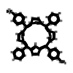 Cc1ccc(C2=C3C=CC(=N3)C(c3ccncc3)=C3C=CC(=N3)C(c3ccc(C)cc3)=C3C=CC(=N3)C(c3ccncc3)=C3C=CC2=N3)cc1